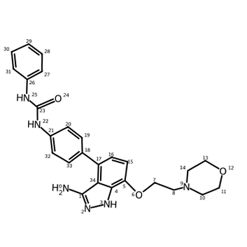 Nc1n[nH]c2c(OCCN3CCOCC3)ccc(-c3ccc(NC(=O)Nc4ccccc4)cc3)c12